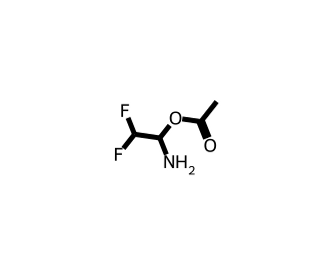 CC(=O)OC(N)C(F)F